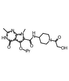 Cc1nc2c(c(OC(C)C)c(C(=O)NC3CCN(C(=O)CO)CC3)n2C)c(=O)[nH]1